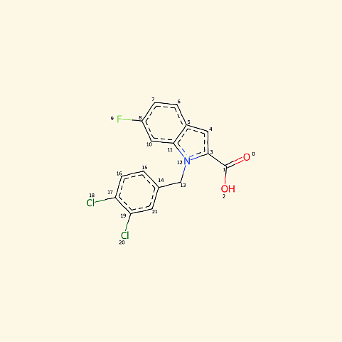 O=C(O)c1cc2ccc(F)cc2n1Cc1ccc(Cl)c(Cl)c1